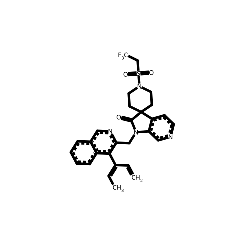 C=C/C(=C\C)c1c(CN2C(=O)C3(CCN(S(=O)(=O)CC(F)(F)F)CC3)c3ccncc32)ncc2ccccc12